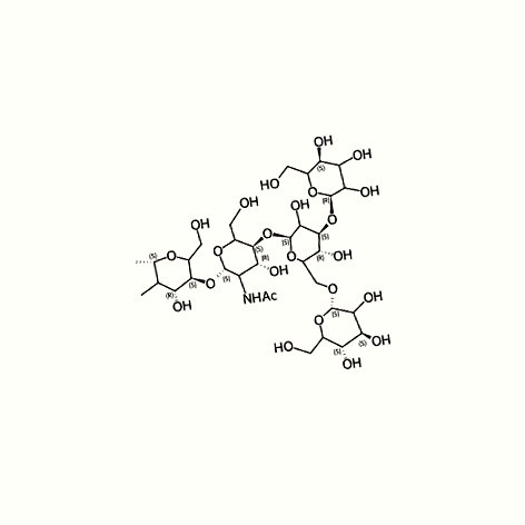 CC(=O)NC1[C@H](O[C@@H]2C(CO)O[C@@H](C)C(C)[C@H]2O)OC(CO)[C@@H](O[C@@H]2OC(CO[C@H]3OC(CO)[C@@H](O)[C@H](O)C3O)[C@@H](O)[C@H](O[C@H]3OC(CO)[C@@H](O)C(O)C3O)C2O)[C@@H]1O